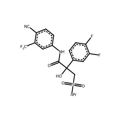 CCCS(=O)(=O)CC(O)(C(=O)Nc1ccc(C#N)c(C(F)(F)F)c1)c1ccc(F)c(F)c1